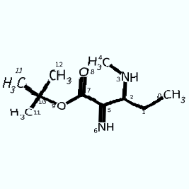 CCC(NC)C(=N)C(=O)OC(C)(C)C